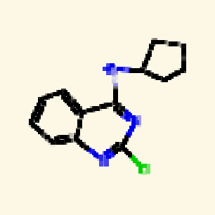 Clc1nc(NC2CCCC2)c2ccccc2n1